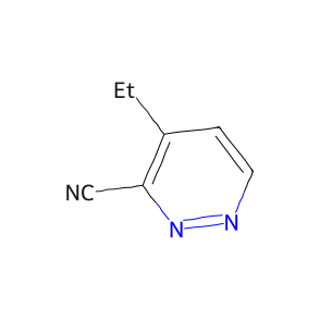 CCc1ccnnc1C#N